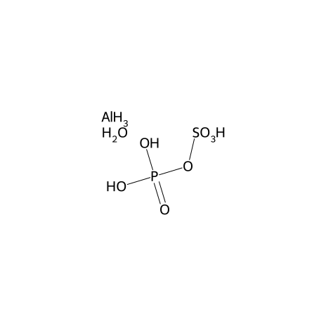 O.O=P(O)(O)OS(=O)(=O)O.[AlH3]